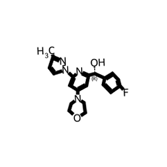 Cc1ccn(-c2cc(N3CCOCC3)cc([C@H](O)c3ccc(F)cc3)n2)n1